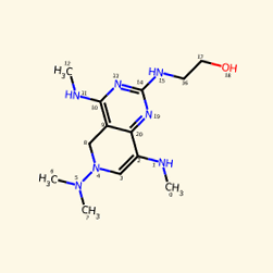 CNC1=CN(N(C)C)Cc2c(NC)nc(NCCO)nc21